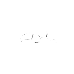 CCOC(=O)c1ccc2c(c1)OC1CNC21